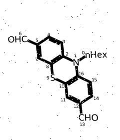 CCCCCCN1c2ccc(C=O)cc2Sc2cc(C=O)ccc21